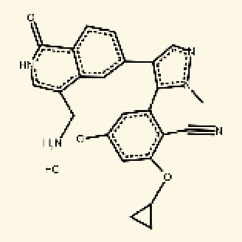 Cl.Cn1ncc(-c2ccc3c(=O)[nH]cc(CN)c3c2)c1-c1cc(Cl)cc(OC2CC2)c1C#N